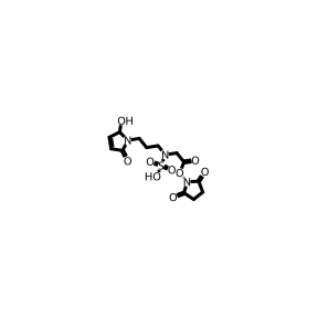 O=C(CN(CCCN1C(=O)C=CC1O)S(=O)(=O)O)ON1C(=O)CCC1=O